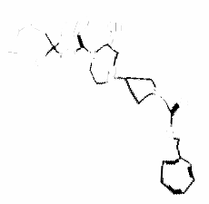 C[C@@H]1CN(C2CN(C(=O)OCc3ccccc3)C2)CCN1C(=O)OC(C)(C)C